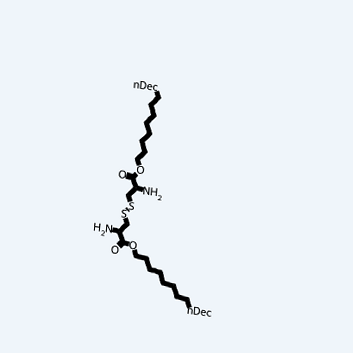 CCCCCCCCCCCCCCCCCCOC(=O)C(N)CSSCC(N)C(=O)OCCCCCCCCCCCCCCCCCC